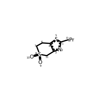 CC(C)c1nc2c(s1)CCS(=O)(=O)C2